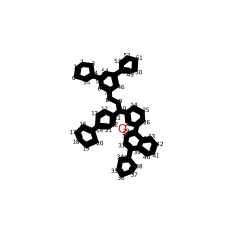 C1=CCCC(c2cc(CCC(c3ccc(-c4ccccc4)cc3)c3cccc4c3oc3cc(-c5ccccc5)c5ccccc5c34)cc(-c3ccccc3)c2)=C1